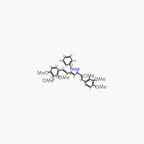 COc1ccc(C=Cc2cc(C=Cc3ccc(OC)c(OC)c3OC)n(-c3ccccc3)n2)c(OC)c1OC